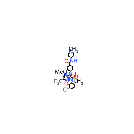 C=S(C)(=O)Nc1cccc(Cl)c1Oc1nc(Nc2ccc(C(=O)NC3CCN(C)CC3)cc2OC)ncc1C(F)(F)F